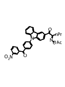 CCCC(=NOC(C)=O)C(=O)c1ccc2c(c1)c1ccccc1n2-c1ccc(C(=O)c2cccc([N+](=O)[O-])c2)cc1